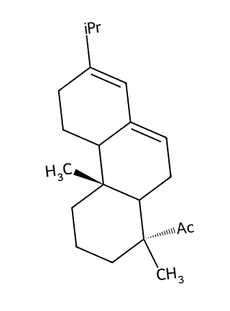 CC(=O)[C@]1(C)CCC[C@]2(C)C3CCC(C(C)C)=CC3=CCC21